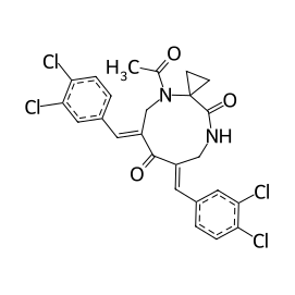 CC(=O)N1C/C(=C\c2ccc(Cl)c(Cl)c2)C(=O)/C(=C/c2ccc(Cl)c(Cl)c2)CNC(=O)C12CC2